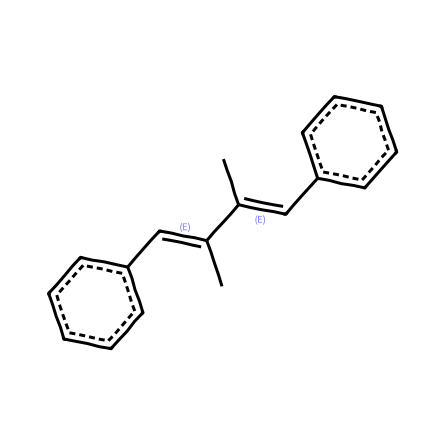 CC(=C\c1ccccc1)/C(C)=C/c1ccccc1